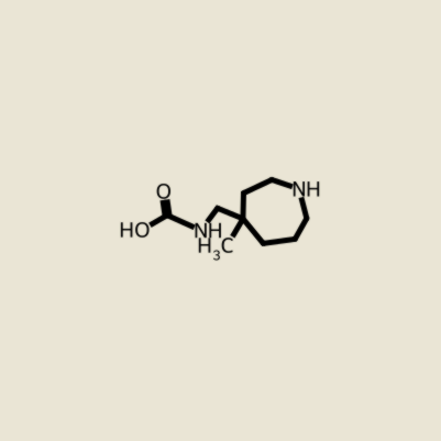 CC1(CNC(=O)O)CCCNCC1